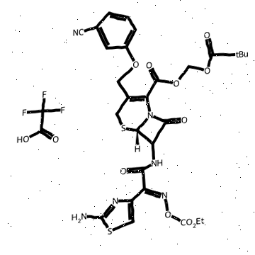 CCOC(=O)ON=C(C(=O)NC1C(=O)N2C(C(=O)OCOC(=O)C(C)(C)C)=C(COc3cccc(C#N)c3)CS[C@@H]12)c1csc(N)n1.O=C(O)C(F)(F)F